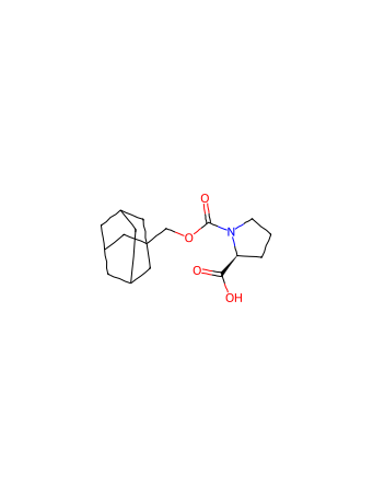 O=C(O)[C@@H]1CCCN1C(=O)OCC12CC3CC(CC(C3)C1)C2